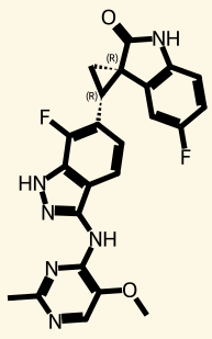 COc1cnc(C)nc1Nc1n[nH]c2c(F)c([C@@H]3C[C@@]34C(=O)Nc3ccc(F)cc34)ccc12